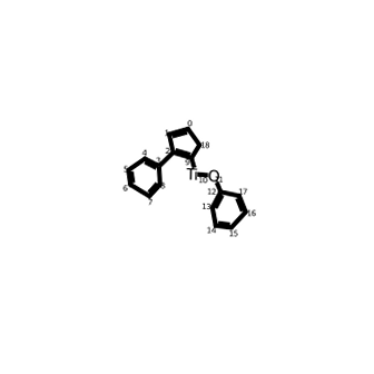 C1=CC(c2ccccc2)=[C]([Ti][O]c2ccccc2)C1